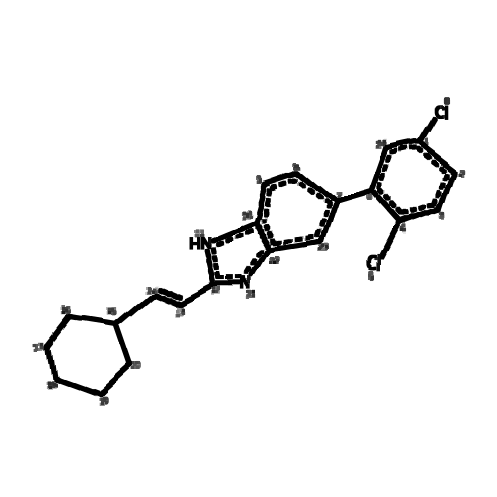 Clc1ccc(Cl)c(-c2ccc3[nH]c(C=CC4CCCCC4)nc3c2)c1